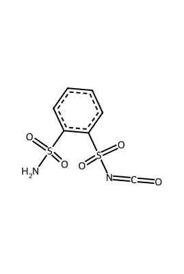 NS(=O)(=O)c1ccccc1S(=O)(=O)N=C=O